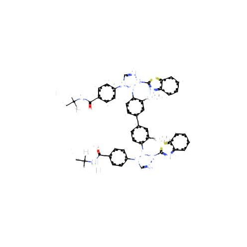 COc1cc(-c2ccc(N3N(c4ccc(C(=O)NC(C)(S(=O)(=O)O)S(=O)(=O)O)cc4)C=NN3c3nc4ccccc4s3)c(OC)c2)ccc1N1N(c2ccc(C(=O)NC(C)(S(=O)(=O)O)S(=O)(=O)O)cc2)C=NN1c1nc2ccccc2s1